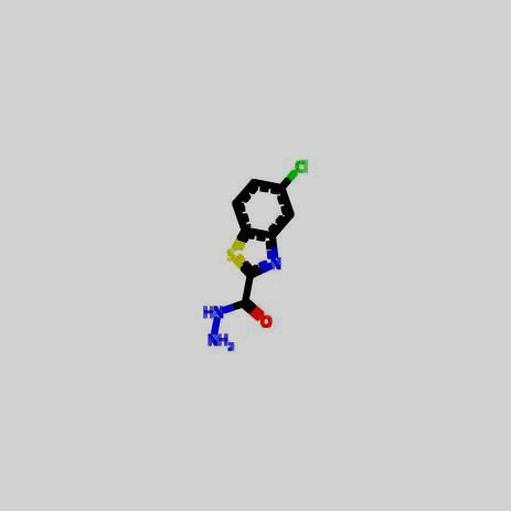 NNC(=O)c1nc2cc(Cl)ccc2s1